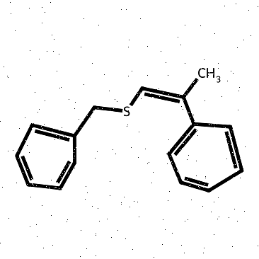 CC(=CSCc1ccccc1)c1ccccc1